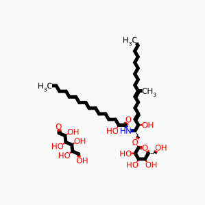 CCCCCCCCCCCCCC[C@@H](O)C(=O)N[C@@H](CO[C@@H]1O[C@H](CO)[C@@H](O)[C@H](O)[C@H]1O)[C@H](O)/C=C/CC/C=C(\C)CCCCCCCCC.O=C[C@H](O)[C@@H](O)[C@@H](O)[C@H](O)CO